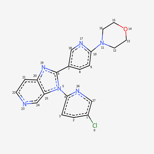 Clc1ccc(-n2c(-c3ccc(N4CCOCC4)nc3)nc3ccncc32)nc1